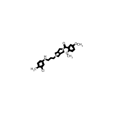 COc1ccc(OC)c(C(=O)N2CC3CN(CCCNc4ccc(C)c(Cl)c4)CC3C2)c1